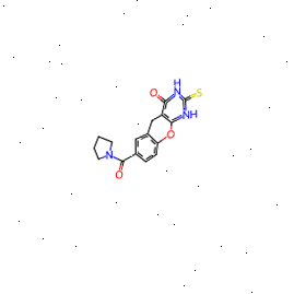 O=C(c1ccc2c(c1)Cc1c([nH]c(=S)[nH]c1=O)O2)N1CCCC1